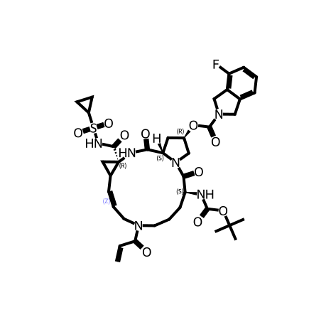 C=CC(=O)N1C/C=C\C2C[C@@]2(C(=O)NS(=O)(=O)C2CC2)NC(=O)[C@@H]2C[C@@H](OC(=O)N3Cc4cccc(F)c4C3)CN2C(=O)[C@@H](NC(=O)OC(C)(C)C)CCC1